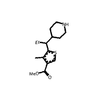 CCC(c1scc(C(=O)OC)c1C)C1CCNCC1